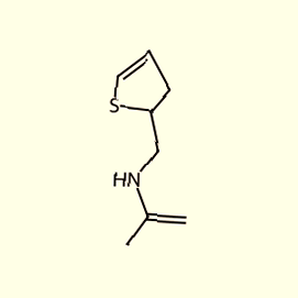 C=C(C)NCC1CC=CS1